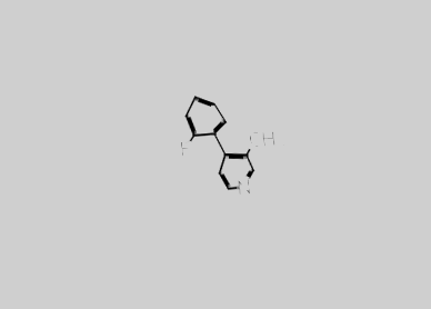 Cc1cnccc1-c1cc[c]cc1F